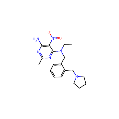 CCN(Cc1ccccc1CN1CCCC1)c1nc(C)nc(N)c1[N+](=O)[O-]